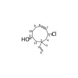 C=CC1(C)CC(Cl)C#CCCC(O)C1